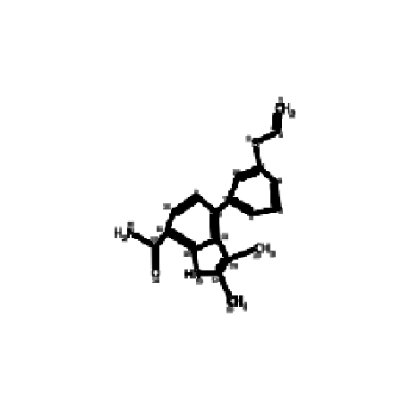 C=CSc1cccc(-c2ccc(C(N)=O)c3[nH]c(C)c(C)c23)c1